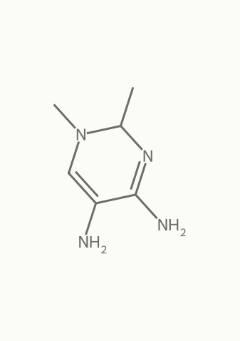 CC1N=C(N)C(N)=CN1C